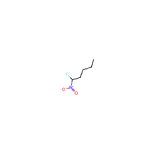 CCCCC(F)[N+](=O)[O-]